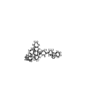 C1=Cc2cc(N(c3ccc(-c4ccc5c(c4)oc4ccccc45)cc3)c3cccc4c3-c3ccccc3C43C4CC5CC(C4)CC3C5)ccc2CC1